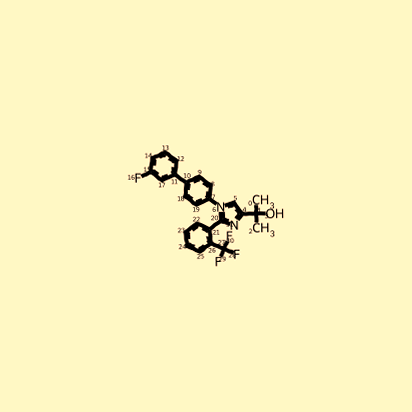 CC(C)(O)c1cn(-c2ccc(-c3cccc(F)c3)cc2)c(-c2ccccc2C(F)(F)F)n1